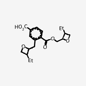 CCC1COC1COC(=O)c1ccc(C(=O)O)cc1CC1OCC1CC